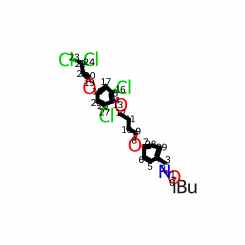 CCC(C)ON=Cc1ccc(OCCCCOc2c(Cl)cc(OC=CC(Cl)Cl)cc2Cl)cc1